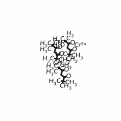 CC(C)(C)C(=O)CC(=O)C(C)(C)C.CC(C)(C)C(=O)CC(=O)C(C)(C)C.CC(C)(C)C(=O)CC(=O)C(C)(C)C.[Cr+3]